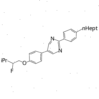 CCCCCCCc1ccc(-c2ncc(-c3ccc(OCC(F)C(C)C)cc3)cn2)cc1